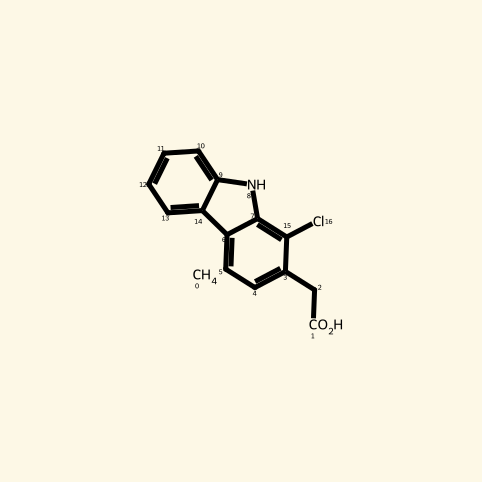 C.O=C(O)Cc1ccc2c([nH]c3ccccc32)c1Cl